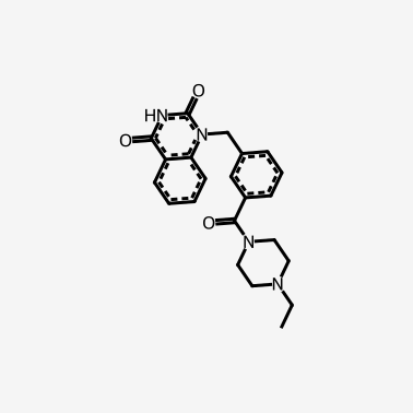 CCN1CCN(C(=O)c2cccc(Cn3c(=O)[nH]c(=O)c4ccccc43)c2)CC1